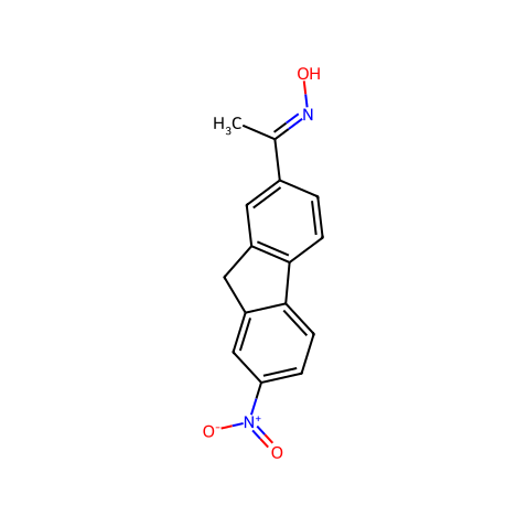 C/C(=N\O)c1ccc2c(c1)Cc1cc([N+](=O)[O-])ccc1-2